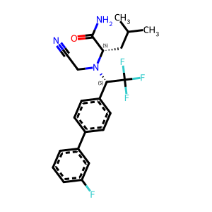 CC(C)C[C@@H](C(N)=O)N(CC#N)[C@@H](c1ccc(-c2cccc(F)c2)cc1)C(F)(F)F